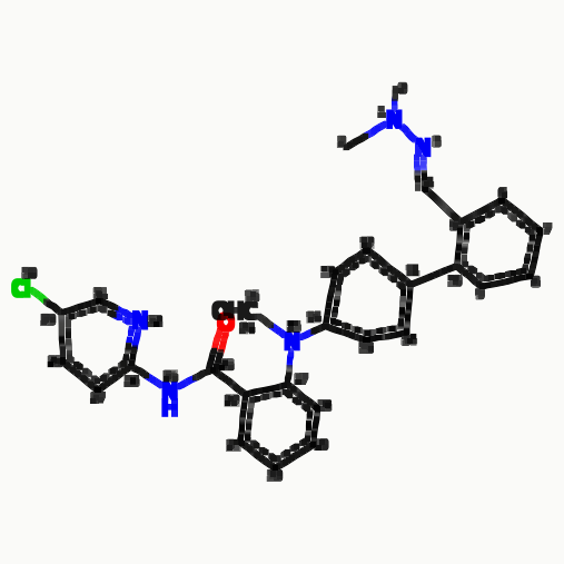 CN(C)N=Cc1ccccc1-c1ccc(N(C=O)c2ccccc2C(=O)Nc2ccc(Cl)cn2)cc1